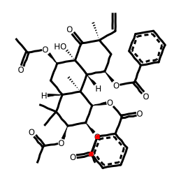 C=C[C@@]1(C)C[C@@H](OC(=O)c2ccccc2)[C@H]2[C@](O)(C1=O)[C@H](OC(C)=O)C[C@H]1C(C)(C)[C@H](OC(C)=O)[C@H](OC(C)=O)[C@H](OC(=O)c3ccccc3)[C@@]12C